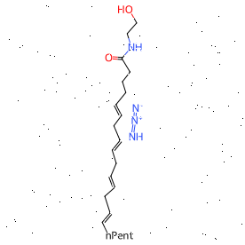 CCCCCC=CCC=CCC=CCC=CCCCC(=O)NCCO.[N-]=[N+]=N